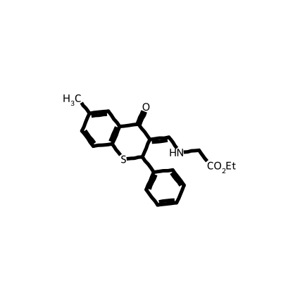 CCOC(=O)CNC=C1C(=O)c2cc(C)ccc2SC1c1ccccc1